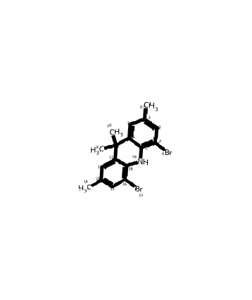 Cc1cc(Br)c2c(c1)C(C)(C)c1cc(C)cc(Br)c1N2